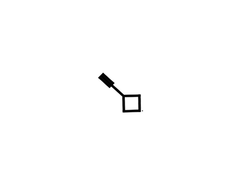 C#CC1C[CH]C1